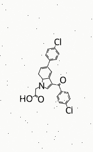 O=C(O)CN1C=C(C(=O)c2ccc(Cl)cc2)C2=CC(c3ccc(Cl)cc3)=CCC21